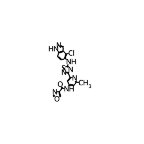 Cc1cc(NC(=O)c2cocn2)cc(-c2nsc(Nc3ccc4[nH]ncc4c3Cl)n2)n1